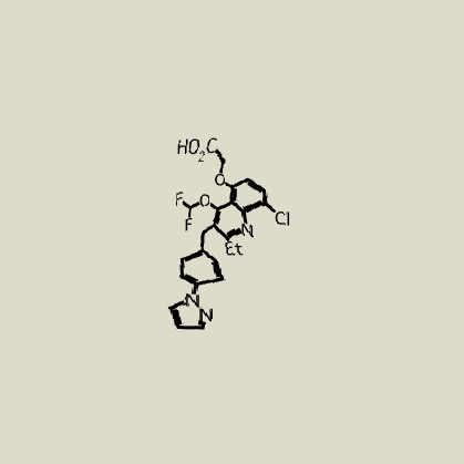 CCc1nc2c(Cl)ccc(OCC(=O)O)c2c(OC(F)F)c1Cc1ccc(-n2cccn2)cc1